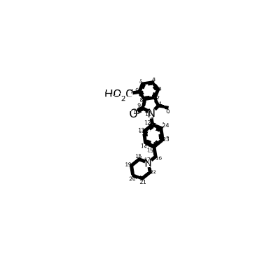 CC1c2cccc(C(=O)O)c2C(=O)N1c1ccc(CN2CCCCC2)cc1